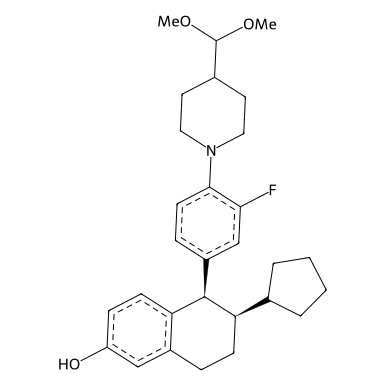 COC(OC)C1CCN(c2ccc([C@@H]3c4ccc(O)cc4CC[C@@H]3C3CCCC3)cc2F)CC1